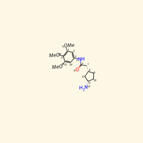 COc1cc(NC(=O)C[C@@H]2CC[C@H](N)C2)cc(OC)c1OC